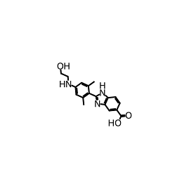 Cc1cc(NCCO)cc(C)c1-c1nc2cc(C(=O)O)ccc2[nH]1